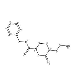 O=C1CN(C(=O)OCc2ccccc2)CCN1CCO